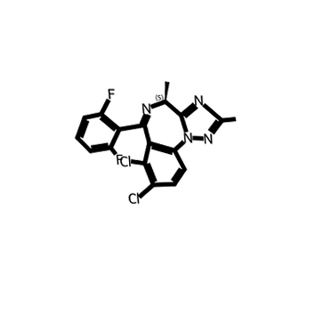 Cc1nc2n(n1)-c1ccc(Cl)c(Cl)c1C(c1c(F)cccc1F)=N[C@H]2C